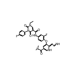 CCn1cc(C(=O)Nc2ccc(OC3=CC(C(=O)N(C)C)=CN/C3=C\C=N)c(F)c2)c(=O)n(-c2ccc(F)cc2)c1=O